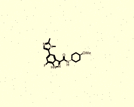 CO[C@H]1CC[C@H](NC(=O)c2n[nH]c3c(F)cc(-c4cnc(C)n4C)cc23)CC1